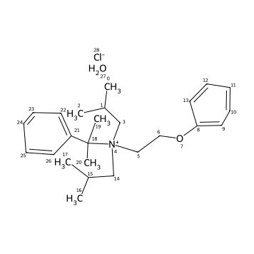 CC(C)C[N+](CCOc1ccccc1)(CC(C)C)C(C)(C)c1ccccc1.O.[Cl-]